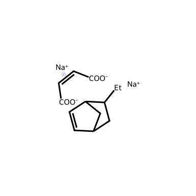 CCC1CC2C=CC1C2.O=C([O-])/C=C\C(=O)[O-].[Na+].[Na+]